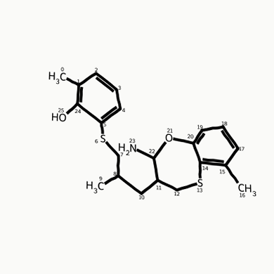 Cc1cccc(SCC(C)CC2CSc3c(C)cccc3OC2N)c1O